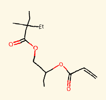 C=CC(=O)OC(C)COC(=O)C(C)(C)CC